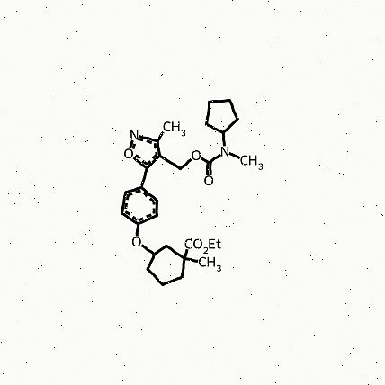 CCOC(=O)C1(C)CCCC(Oc2ccc(-c3onc(C)c3COC(=O)N(C)C3CCCC3)cc2)C1